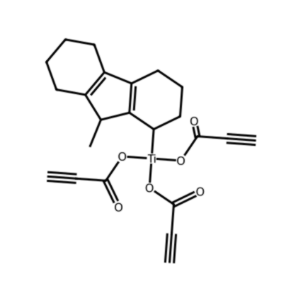 C#CC(=O)[O][Ti]([O]C(=O)C#C)([O]C(=O)C#C)[CH]1CCCC2=C1C(C)C1=C2CCCC1